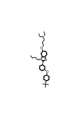 CCCCn1c(-c2cccc(Oc3ccc(C(C)(C)C)cc3)c2)nc2ccc(OCCCN(CC)CC)cc21